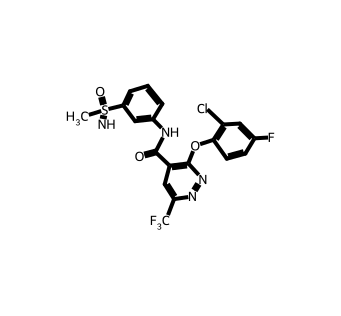 CS(=N)(=O)c1cccc(NC(=O)c2cc(C(F)(F)F)nnc2Oc2ccc(F)cc2Cl)c1